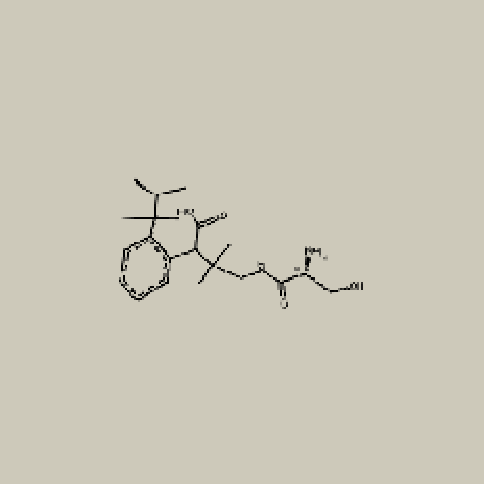 CC(C)C(C)(C)c1ccccc1C(C(=O)O)C(C)(C)CNC(=O)[C@@H](N)CO